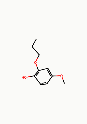 CCCOc1cc(OC)ccc1O